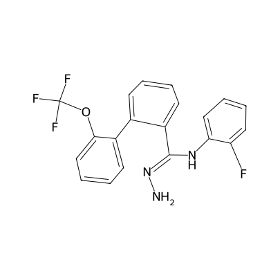 N/N=C(\Nc1ccccc1F)c1ccccc1-c1ccccc1OC(F)(F)F